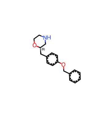 c1ccc(COc2ccc(C[C@@H]3CNCCO3)cc2)cc1